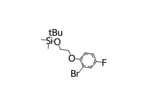 CC(C)(C)[Si](C)(C)OCCOc1ccc(F)cc1Br